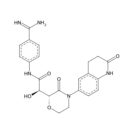 N=C(N)c1ccc(NC(=O)[C@H](O)[C@H]2OCCN(c3ccc4c(c3)CCC(=O)N4)C2=O)cc1